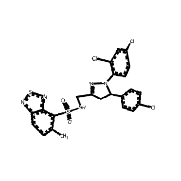 Cc1ccc2nsnc2c1S(=O)(=O)NCC1=NN(c2ccc(Cl)cc2Cl)C(c2ccc(Cl)cc2)C1